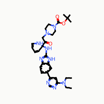 CCN(CC)c1cc(-c2ccc3nc(NC4(C(=O)CN5CCN(C(=O)OC(C)(C)C)CC5)C=CC=CN4)[nH]c3c2)ncn1